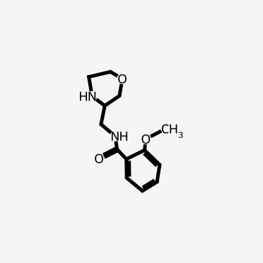 COc1ccccc1C(=O)NCC1COCCN1